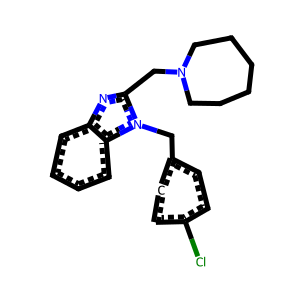 Clc1ccc(Cn2c(CN3CCCCCC3)nc3ccccc32)cc1